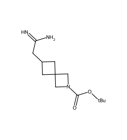 CC(C)(C)OC(=O)N1CC2(CC(CC(=N)N)C2)C1